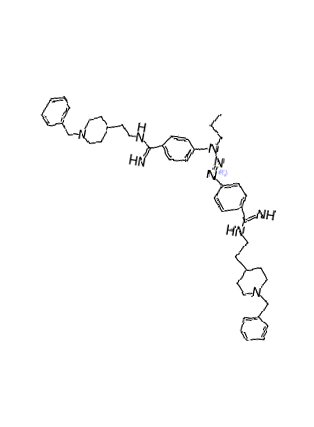 CCCN(/N=N/c1ccc(C(=N)NCCC2CCN(Cc3ccccc3)CC2)cc1)c1ccc(C(=N)NCCC2CCN(Cc3ccccc3)CC2)cc1